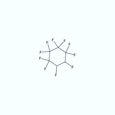 F[C]1C(F)C(F)(F)C(F)(F)C(F)(F)C1(F)F